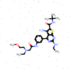 CCNc1nc(-c2cccc(NC(=O)CN(CC)CCOC)c2)c2c(N)c(C(=O)NC(C)(C)C)sc2n1